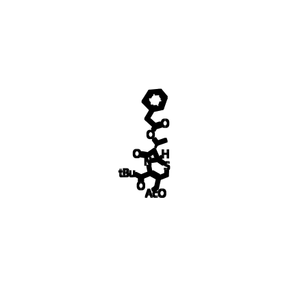 CC(=O)OCC1=C(C(=O)C(C)(C)C)N2C(=O)[C@H](C(C)OC(=O)Cc3ccccc3)[C@@H]2SC1